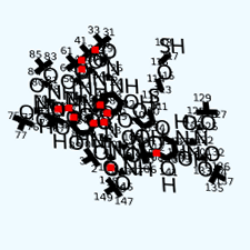 CC(C)(C)OC(=O)/N=C(/NC[C@@H]1OC(OC2C(O)[C@H](OC3C(O)[C@H](N/C(=N/C(=O)OC(C)(C)C)NC(=O)OC(C)(C)C)CC(N/C(=N\C(=O)OC(C)(C)C)NC(=O)OC(C)(C)C)[C@H]3O[C@H]3OC(CN/C(=N\C(=O)OC(C)(C)C)NC(=O)OC(C)(C)C)[C@@H](O)C(O)C3N/C(=N\C(=O)OC(C)(C)C)NC(=O)OC(C)(C)C)O[C@@H]2CSCCOCCS)[C@H](N/C(=N\C(=O)OC(C)(C)C)NC(=O)OC(C)(C)C)C(O)C1O)NC(=O)OC(C)(C)C